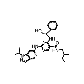 CCC(C)CNC(=O)c1cnc(Nc2cc3c(cn2)cnn3C(C)C)nc1NC(CO)c1ccccc1